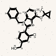 CC1(Oc2ncnc3c2nc(-c2ccc(CO)cc2Cl)n3Cc2ccccc2)CC1